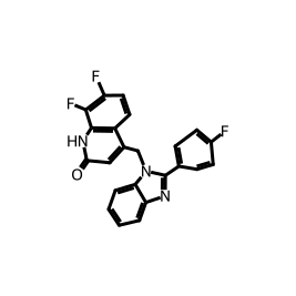 O=c1cc(Cn2c(-c3ccc(F)cc3)nc3ccccc32)c2ccc(F)c(F)c2[nH]1